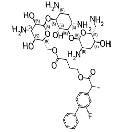 CC(C(=O)OCCCC(=O)OC[C@H]1O[C@H](O[C@@H]2[C@@H](O)[C@H](O[C@H]3O[C@H](CN)[C@@H](O)C[C@H]3N)[C@@H](N)C[C@H]2N)[C@H](O)[C@@H](N)[C@@H]1O)c1ccc(-c2ccccc2)c(F)c1